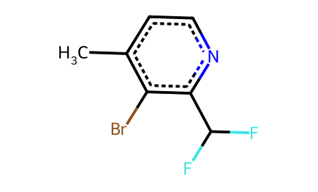 Cc1ccnc(C(F)F)c1Br